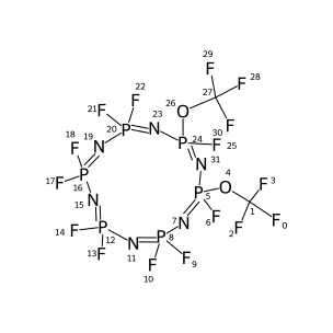 FC(F)(F)OP1(F)=NP(F)(F)=NP(F)(F)=NP(F)(F)=NP(F)(F)=NP(F)(OC(F)(F)F)=N1